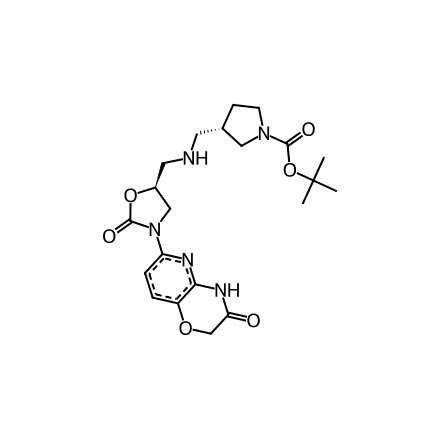 CC(C)(C)OC(=O)N1CC[C@@H](CNC[C@H]2CN(c3ccc4c(n3)NC(=O)CO4)C(=O)O2)C1